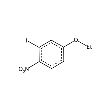 CCOc1ccc([N+](=O)[O-])c(I)c1